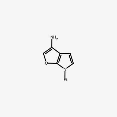 CCn1ccc2c(N)coc21